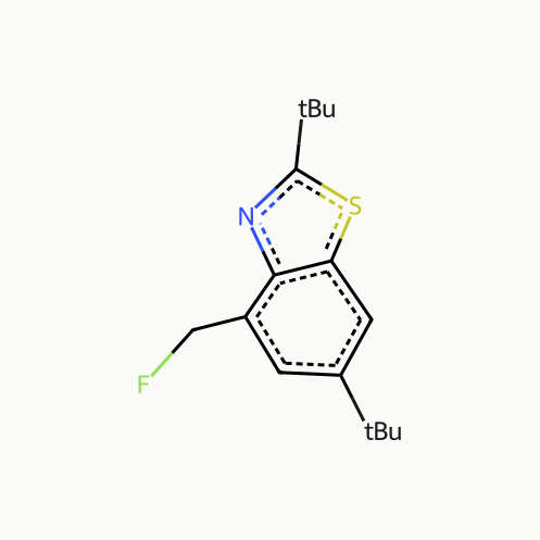 CC(C)(C)c1cc(CF)c2nc(C(C)(C)C)sc2c1